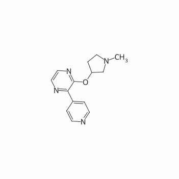 CN1CCC(Oc2nccnc2-c2ccncc2)C1